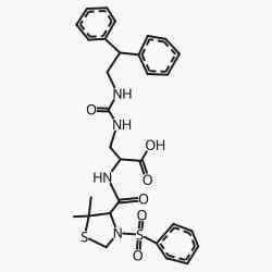 CC1(C)SCN(S(=O)(=O)c2ccccc2)C1C(=O)NC(CNC(=O)NCC(c1ccccc1)c1ccccc1)C(=O)O